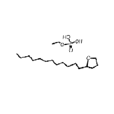 CCCCCCCCCCCCC1CCCO1.CCOP(=O)(O)O